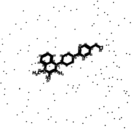 [2H]C1=C([2H])N(C2CCN(c3ncc(CCl)cn3)CC2)c2ccccc2N1C